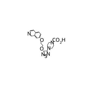 O=C(O)N1CCN(c2nsnc2OCCOc2ccc3ccncc3c2)CC1